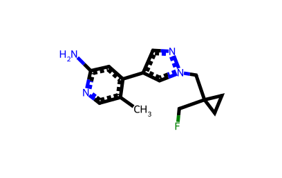 Cc1cnc(N)cc1-c1cnn(CC2(CF)CC2)c1